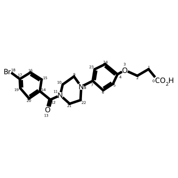 O=C(O)CCOc1ccc(N2CCN(C(=O)c3ccc(Br)cc3)CC2)cc1